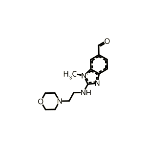 Cn1c(NCCN2CCOCC2)nc2ccc(C=O)cc21